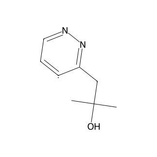 CC(C)(O)Cc1[c]ccnn1